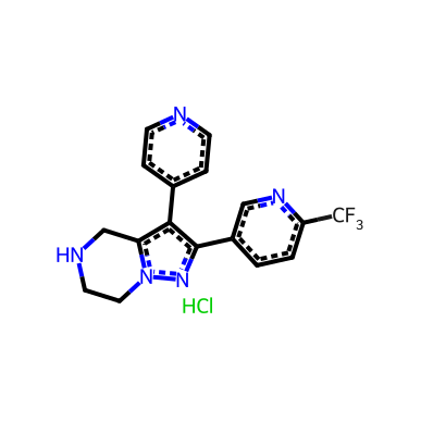 Cl.FC(F)(F)c1ccc(-c2nn3c(c2-c2ccncc2)CNCC3)cn1